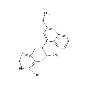 COc1cc(C2CC3=NCNC(O)=C3CC2C)c2ccccc2c1